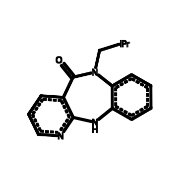 CC(C)CN1C(=O)c2cccnc2Nc2ccccc21